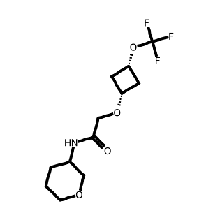 O=C(CO[C@H]1C[C@@H](OC(F)(F)F)C1)NC1CCCOC1